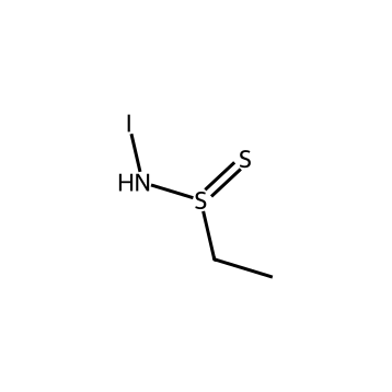 CCS(=S)NI